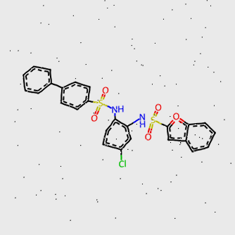 O=S(=O)(Nc1ccc(Cl)cc1NS(=O)(=O)c1cc2ccccc2o1)c1ccc(-c2ccccc2)cc1